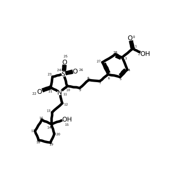 O=C(O)c1ccc(CCCC2N(CCC3(O)CCCCC3)C(=O)CS2(=O)=O)cc1